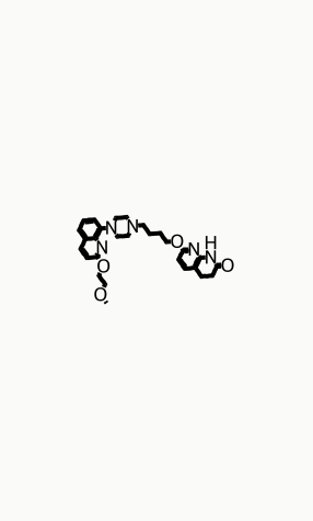 COCCOc1ccc2cccc(N3CCN(CCCCOc4ccc5c(n4)NC(=O)CC5)CC3)c2n1